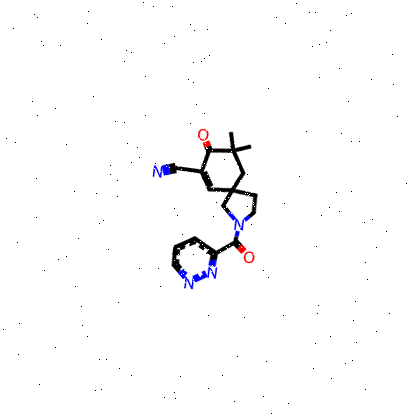 CC1(C)CC2(C=C(C#N)C1=O)CCN(C(=O)c1cccnn1)C2